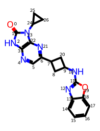 O=c1[nH]c2ncc(C3CC(Nc4nc5ccccc5o4)C3)nc2n1C1CC1